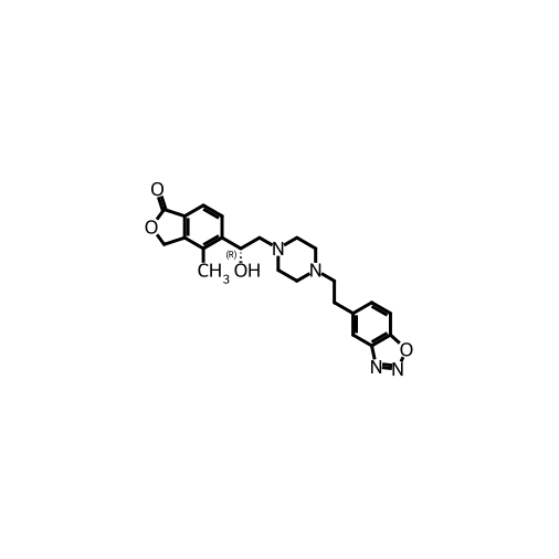 Cc1c([C@@H](O)CN2CCN(CCc3ccc4onnc4c3)CC2)ccc2c1COC2=O